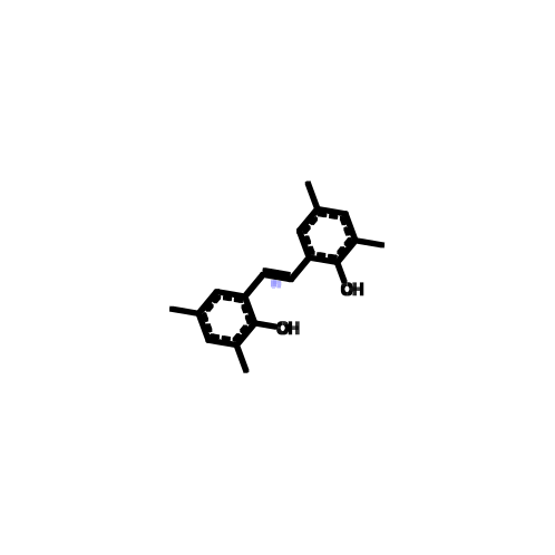 Cc1cc(C)c(O)c(/C=C/c2cc(C)cc(C)c2O)c1